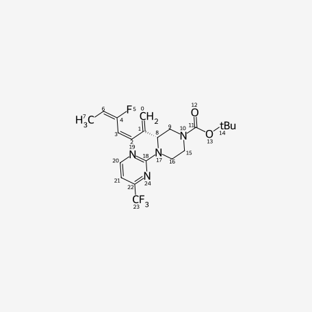 C=C(/C=C\C(F)=C/C)[C@@H]1CN(C(=O)OC(C)(C)C)CCN1c1nccc(C(F)(F)F)n1